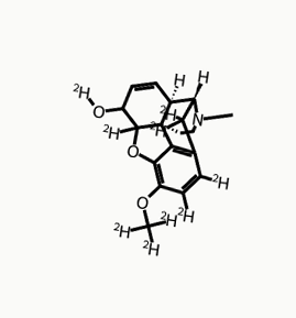 [2H]OC1C=C[C@H]2[C@@H]3N(C)CC[C@@]24c2c(c(OC([2H])([2H])[2H])c([2H])c([2H])c2C3([2H])[2H])OC14[2H]